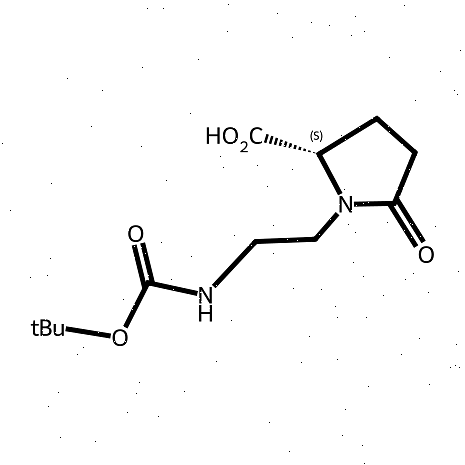 CC(C)(C)OC(=O)NCCN1C(=O)CC[C@H]1C(=O)O